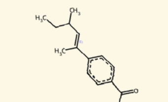 CCC(C)/C=C(\C)c1ccc(C(C)=O)cc1